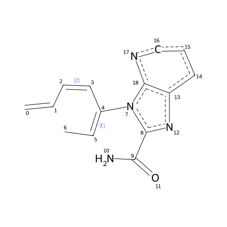 C=C/C=C\C(=C/C)n1c(C(N)=O)nc2cccnc21